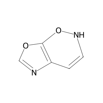 C1=Cc2ncoc2ON1